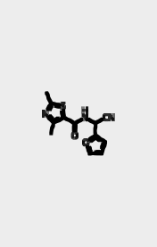 Cc1nc(C)c(C(=O)NC(C#N)c2ccco2)s1